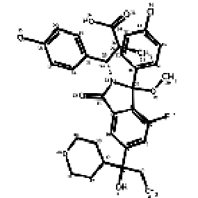 CCC(O)(c1cc(F)c2c(c1)C(=O)N([C@H](c1ccc(Cl)cc1)[C@H](C)C(=O)O)C2(OC)c1ccc(Cl)cc1)C1CCOCC1